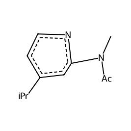 CC(=O)N(C)c1cc(C(C)C)ccn1